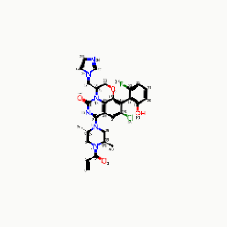 C=CC(=O)N1C[C@H](C)N(c2nc(=O)n3c4c(c(-c5c(O)cccc5F)c(Cl)cc24)OC[C@@H]3Cn2ccnc2)C[C@H]1C